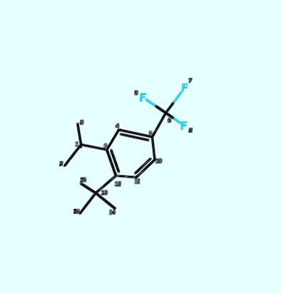 C[C](C)c1cc(C(F)(F)F)ccc1C(C)(C)C